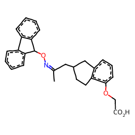 CC(CC1CCc2c(cccc2OCC(=O)O)C1)=NOC1c2ccccc2-c2ccccc21